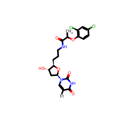 CCc1cn([C@H]2C[C@H](O)[C@@H](CCCNC(=O)C(C)Oc3ccc(Cl)cc3Cl)O2)c(=O)[nH]c1=O